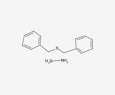 N[SiH3].c1ccc([CH2][Ti][CH2]c2ccccc2)cc1